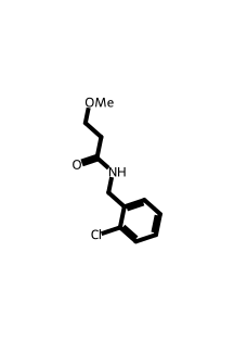 COCCC(=O)NCc1ccccc1Cl